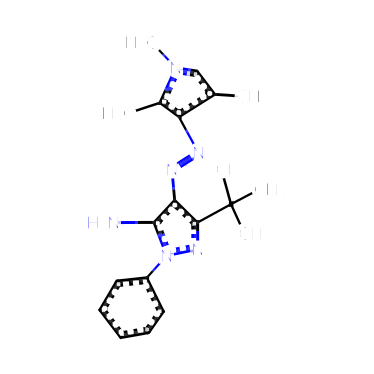 Cc1cn(C)c(C)c1/N=N/c1c(C(C)(C)C)nn(-c2ccccc2)c1N